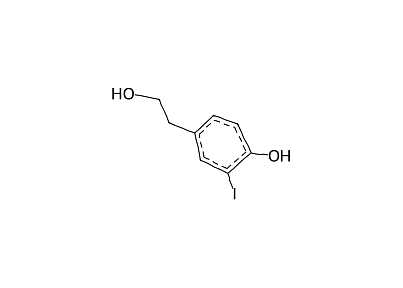 OCCc1ccc(O)c(I)c1